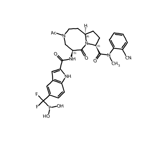 CC(=O)N1CC[C@H]2CC[C@@H](C(=O)N(C)c3ccccc3C#N)N2C(=O)[C@@H](NC(=O)c2cc3cc(C(F)(F)P(O)O)ccc3[nH]2)C1